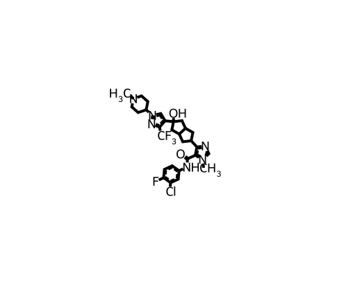 CN1CCC(n2cc(C3(O)CC4CC(c5ncn(C)c5C(=O)Nc5ccc(F)c(Cl)c5)CC4C3)c(C(F)(F)F)n2)CC1